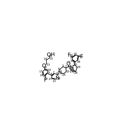 O=C(C1CCN(c2cc(-c3cc(OCCCO)ccc3F)ccn2)CC1)N1N=CCC1c1cc(F)cc(F)c1